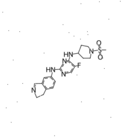 CS(=O)(=O)N1CCC(Nc2nc(Nc3ccc4c(c3)C=NCC4)ncc2F)CC1